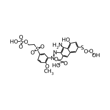 COc1ccc(S(=O)(=O)CCOS(=O)(=O)O)cc1/N=N/c1c(S(=O)(=O)O)cc2cc(SOOO)cc(O)c2c1N